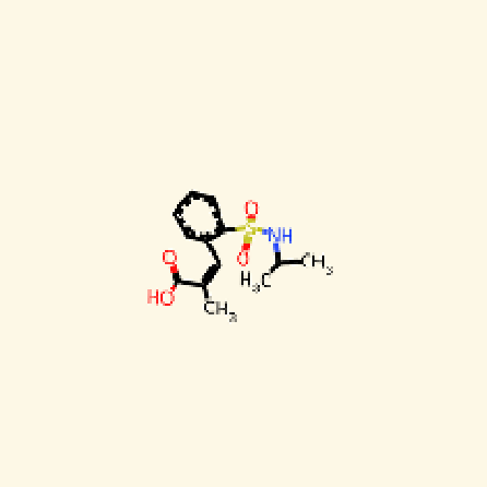 CC(=Cc1ccccc1S(=O)(=O)NC(C)C)C(=O)O